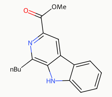 CCCCc1nc(C(=O)OC)cc2c1[nH]c1ccccc12